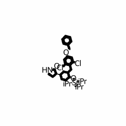 CC(C)[Si](OC1CCC([C@H]2CCNC2=O)CC1Cc1c(Cl)cc(OCc2ccccc2)cc1Cl)(C(C)C)C(C)C